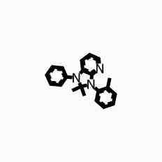 Cc1ccccc1N1c2ncccc2N(c2ccccc2)C1(C)C